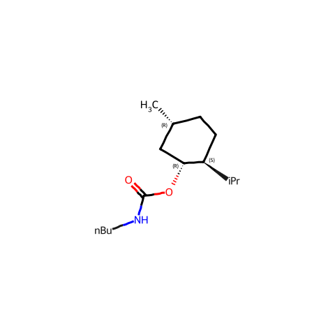 CCCCNC(=O)O[C@@H]1C[C@H](C)CC[C@H]1C(C)C